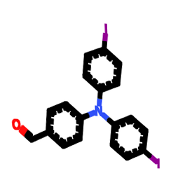 O=Cc1ccc(N(c2ccc(I)cc2)c2ccc(I)cc2)cc1